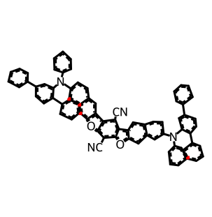 N#Cc1c2oc3cc4cc(N(c5ccccc5)c5cc(-c6ccccc6)ccc5-c5ccccc5)ccc4cc3c2c(C#N)c2c1oc1cc3cc(N(c4ccccc4)c4cc(-c5ccccc5)ccc4-c4ccccc4)ccc3cc12